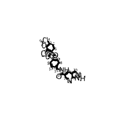 COc1c(Cl)ccc(S(=O)(=O)c2ccc(CNC(=O)C3=CC4C=NNC4N=C3)cc2)c1Cl